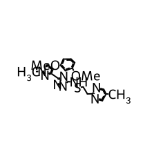 COc1cccc(OC)c1-n1c(NSCCc2ncc(C)cn2)nnc1-c1ccn(C)n1